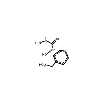 N=C(NN)NO.O=S(=O)(O)Cc1ccccc1